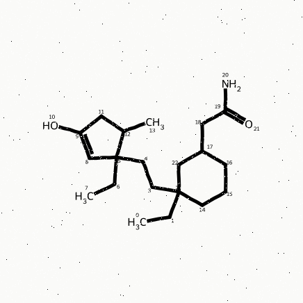 CCC1(CCC2(CC)C=C(O)CC2C)CCCC(CC(N)=O)C1